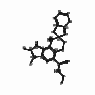 CCNC(=O)c1cc2c(c3c1CCC1(C=C4CC=CC=C4C1)N3)NC(C)N2C